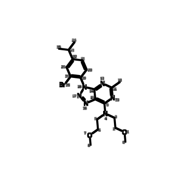 COCCN(CCOC)c1nc(C)nc2c1nnn2-c1ccc(C(C)C)cc1Br